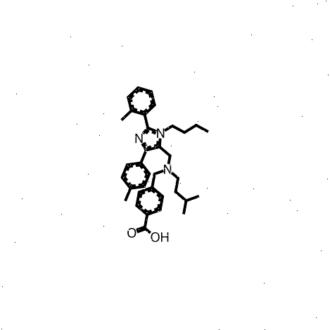 CCCCn1c(-c2ccccc2C)nc(-c2ccc(C)cc2)c1CN(CCC(C)C)Cc1ccc(C(=O)O)cc1